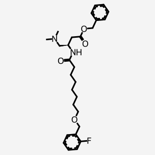 CN(C)C[C@@H](CC(=O)OCc1ccccc1)NC(=O)CCCCCCCOCc1ccccc1F